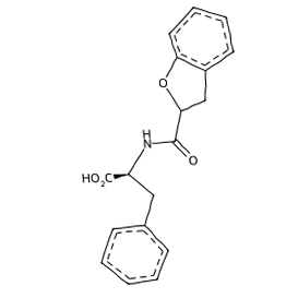 O=C(N[C@@H](Cc1ccccc1)C(=O)O)C1Cc2ccccc2O1